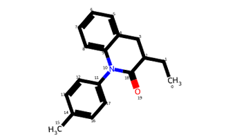 CCC1Cc2ccccc2N(c2ccc(C)cc2)C1=O